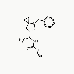 C[C@H](NC(=O)OC(C)(C)C)[C@H]1CN(Cc2ccccc2)C2(CC2)C1